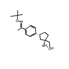 C/C(=N\OC(C)(C)C)c1ccc([C@@H]2CC[C@](N)(CO)C2)cc1